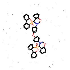 O=P1(C2c3ccccc3OCN2c2ccc(Oc3ccc(N4COc5ccccc5C4P4(=O)Oc5ccccc5-c5ccccc54)cc3)cc2)Oc2ccccc2-c2ccccc21